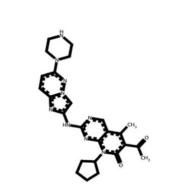 CC(=O)c1c(C)c2cnc(Nc3cn4nc(N5CCNCC5)ccc4n3)nc2n(C2CCCC2)c1=O